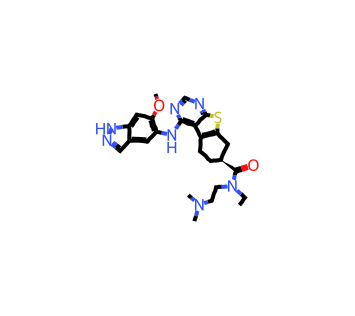 CCN(CCN(C)C)C(=O)[C@H]1CCc2c(sc3ncnc(Nc4cc5cn[nH]c5cc4OC)c23)C1